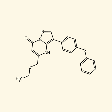 CCOCc1cc(=O)n2ncc(-c3ccc(Sc4ccccc4)cc3)c2[nH]1